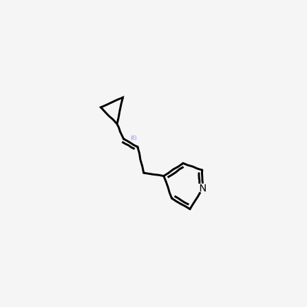 C(=C\C1CC1)/Cc1ccncc1